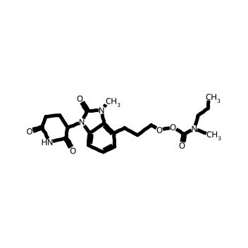 CCCN(C)C(=O)OOCCCc1cccc2c1n(C)c(=O)n2C1CCC(=O)NC1=O